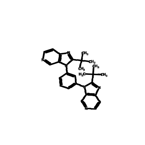 CC(C)(C)c1nc2ccncc2n1-c1cccc(-n2c(C(C)(C)C)nc3ccncc32)c1